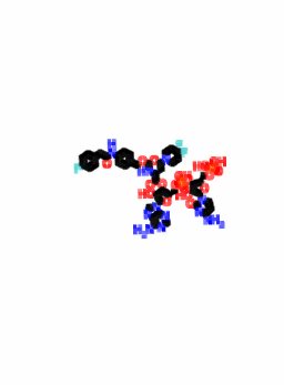 Nc1ccn([C@@H]2O[C@H](COP(=O)(O)O)[C@@H](OP(=O)(O)OC[C@H]3O[C@@H](n4cnc5c(N)ncnc54)[C@H](O)[C@@H]3OC(=O)[C@H](CCN3CCC(F)(F)CC3)NC(=O)OCc3ccc(NC(=O)Cc4ccc(F)cc4)cc3)[C@H]2O)c(=O)n1